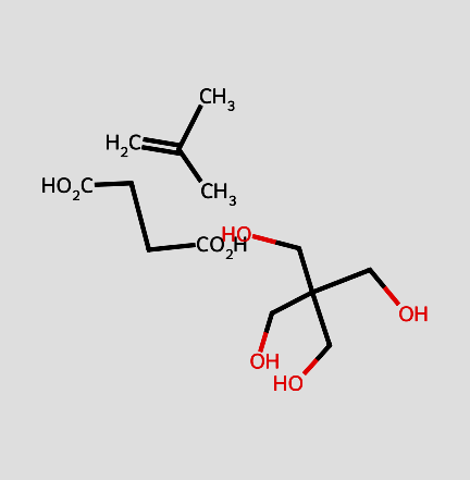 C=C(C)C.O=C(O)CCC(=O)O.OCC(CO)(CO)CO